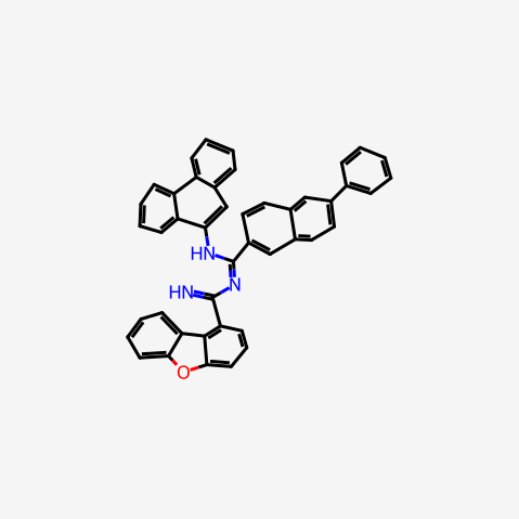 N=C(/N=C(\Nc1cc2ccccc2c2ccccc12)c1ccc2cc(-c3ccccc3)ccc2c1)c1cccc2oc3ccccc3c12